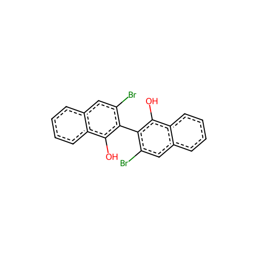 Oc1c(-c2c(Br)cc3ccccc3c2O)c(Br)cc2ccccc12